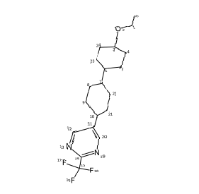 CCOC1CCC(C2CCC(c3cnc(C(F)(F)F)nc3)CC2)CC1